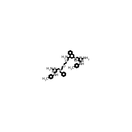 Cc1ccc(Nc2cc(CN(CCOCCOCC(N)C3CC(N(C)Cc4cc(Nc5ccc(C)cc5)nc(N)n4)Cc4ccccc43)Cc3ccccc3)nc(N)n2)cc1